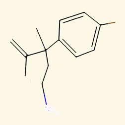 C=C(C(C)C)C(C)(CCN)c1ccc(Br)cc1